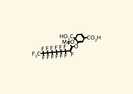 COC1(C(=O)O)CC=C(C(=O)O)C=C1OC(F)=C(F)C(F)(F)C(F)(F)C(F)(F)C(F)(F)C(F)(F)C(F)(F)C(F)(F)F